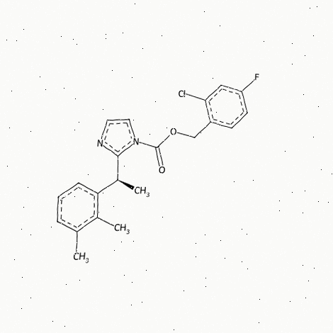 Cc1cccc([C@H](C)c2nccn2C(=O)OCc2ccc(F)cc2Cl)c1C